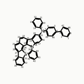 c1ccc(-c2ccc(N(c3ccccc3)c3ccc4c(c3)c3ccc5ccc6c7ccccc7sc6c5c3n4-c3ccccc3)cc2)cc1